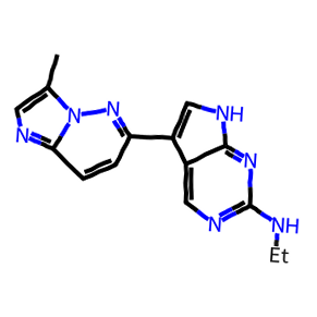 CCNc1ncc2c(-c3ccc4ncc(C)n4n3)c[nH]c2n1